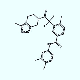 Cc1cc(NC(=O)c2ccc(F)c(C(F)(F)C(=O)N3CCn4c(cnc4C)C3)c2)ccc1F